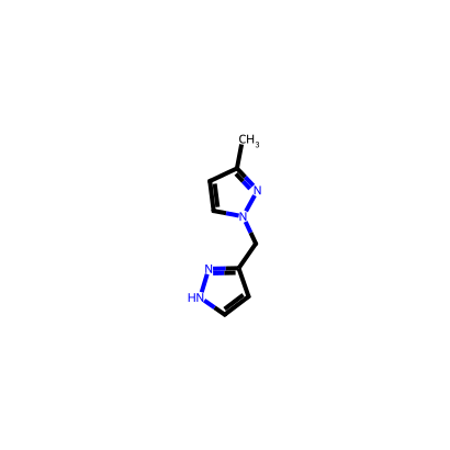 Cc1ccn(Cc2cc[nH]n2)n1